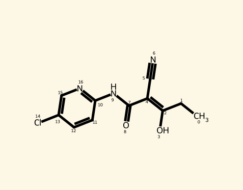 CC/C(O)=C(\C#N)C(=O)Nc1ccc(Cl)cn1